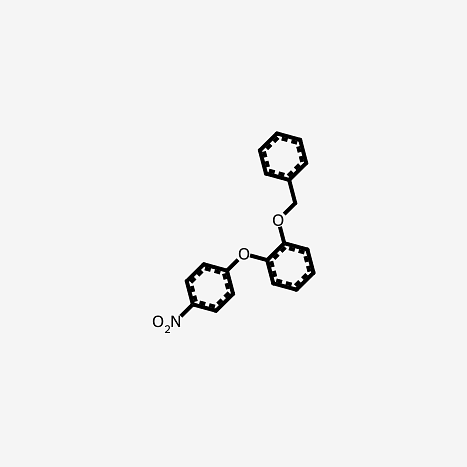 O=[N+]([O-])c1ccc(Oc2ccccc2OCc2ccccc2)cc1